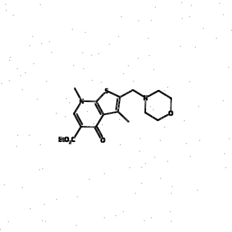 CCOC(=O)c1cn(C)c2sc(CN3CCOCC3)c(C)c2c1=O